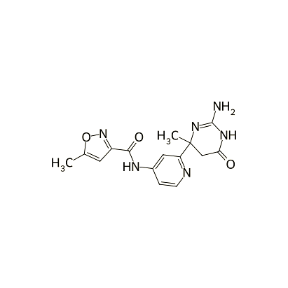 Cc1cc(C(=O)Nc2ccnc(C3(C)CC(=O)NC(N)=N3)c2)no1